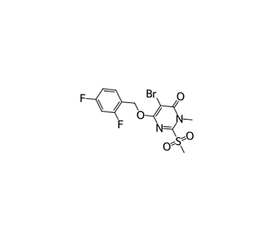 Cn1c(S(C)(=O)=O)nc(OCc2ccc(F)cc2F)c(Br)c1=O